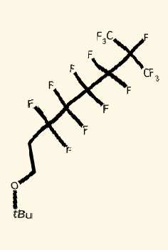 CC(C)(C)OCCC(F)(F)C(F)(F)C(F)(F)C(F)(F)C(F)(C(F)(F)F)C(F)(F)F